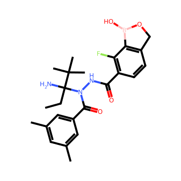 CCC(N)(N(NC(=O)c1ccc2c(c1F)B(O)OC2)C(=O)c1cc(C)cc(C)c1)C(C)(C)C